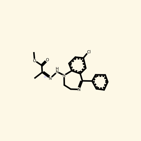 COC(=O)/C(C)=N\NN1CCN=C(c2ccccc2)c2cc(Cl)ccc21